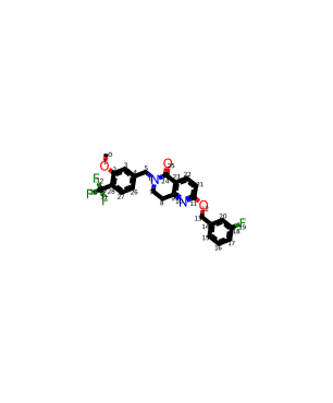 COc1cc(CN2CCc3nc(OCc4cccc(F)c4)ccc3C2=O)ccc1C(F)(F)F